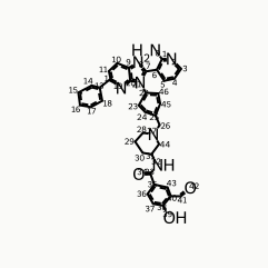 Nc1ncccc1-c1nc2ccc(-c3ccccc3)nc2n1-c1ccc(CN2CCCC(NC(=O)c3ccc(O)c(C=O)c3)C2)cc1